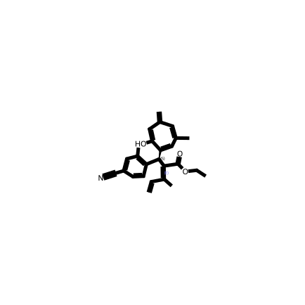 C=C/C(C)=C(/C(=O)OCC)[C@H](C1=CC(C)=CC(=C)C=C1O)c1ccc(C#N)cc1C